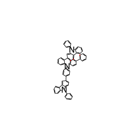 c1ccc(-c2ccc(N(c3ccc(-c4ccc5c(c4)c4ccccc4n5-c4ccccc4)cc3)c3ccccc3-c3ccc4c5ccccc5n(-c5ccccc5)c4c3)cc2)cc1